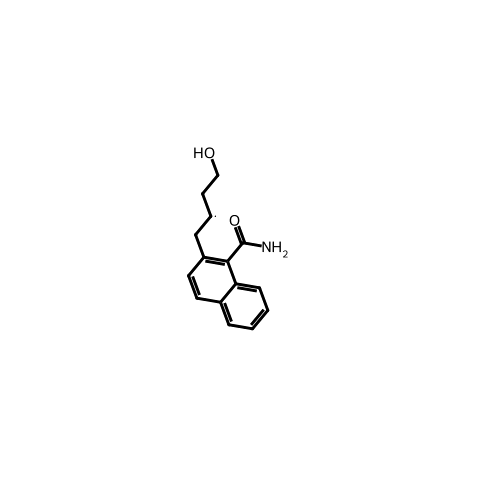 NC(=O)c1c(C[CH]CCO)ccc2ccccc12